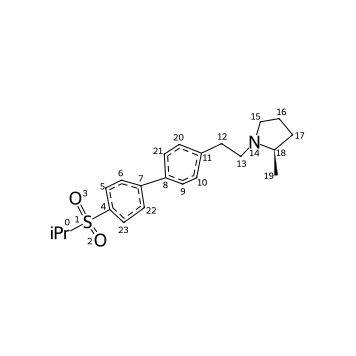 CC(C)S(=O)(=O)c1ccc(-c2ccc(CCN3CCC[C@H]3C)cc2)cc1